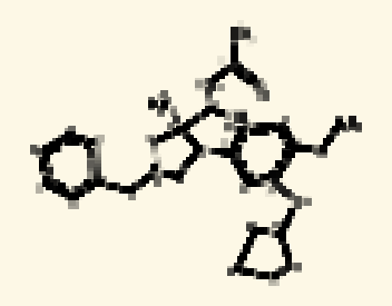 COc1ccc([C@H]2CN(Cc3ccccc3)C[C@@]2(C)C(C)NC(C)=O)cc1OC1CCCC1